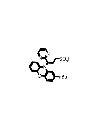 CCCCc1ccc2c(c1)N(C(CCS(=O)(=O)O)c1ncccn1)c1ccccc1O2